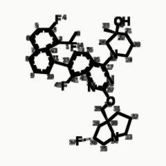 CCc1c(F)ccc2cccc(-c3c(F)cc4c(N5CCC[C@@](C)(O)C5)nc(OC[C@@]56CCCN5C[C@H](F)C6)nc4c3F)c12